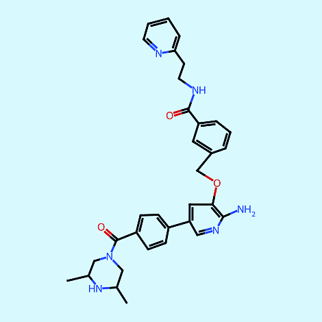 CC1CN(C(=O)c2ccc(-c3cnc(N)c(OCc4cccc(C(=O)NCCc5ccccn5)c4)c3)cc2)CC(C)N1